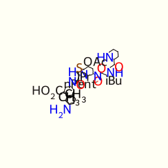 CCCCCON(C(=O)[C@@H](NCC(=O)C1CCCCN1)[C@@H](C)CC)[C@H](C[C@@H](OC(C)=O)c1nc(C(=O)N[C@@H](Cc2ccc(N)cc2)CC(C)(C)C(=O)O)cs1)C(C)C